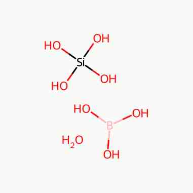 O.OB(O)O.O[Si](O)(O)O